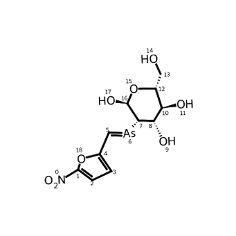 O=[N+]([O-])c1ccc(C=[As][C@H]2[C@@H](O)[C@H](O)[C@@H](CO)O[C@@H]2O)o1